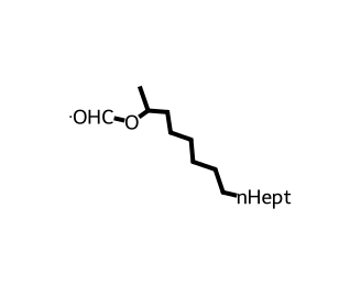 CCCCCCCCCCCCCC(C)O[C]=O